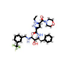 CCn1nc(C(=O)N[C@@H](Cc2ccccc2)[C@@H](O)CNCc2cccc(C(F)(F)F)c2)cc1C(=O)N1CCOCC1